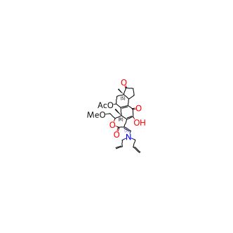 C=CCN(/C=C1\C(=O)OC(COC)[C@@]2(C)C1=C(O)C(=O)C1=C2C(OC(C)=O)C[C@]2(C)C(=O)CCC12)CC=C